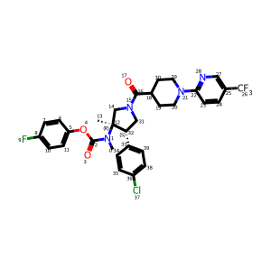 CN(C(=O)Oc1ccc(F)cc1)[C@@]1(C)CN(C(=O)C2CCN(c3ccc(C(F)(F)F)cn3)CC2)C[C@@H]1c1ccc(Cl)cc1